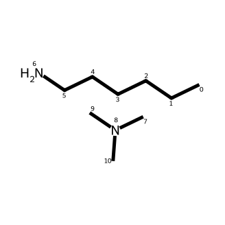 CCCCCCN.CN(C)C